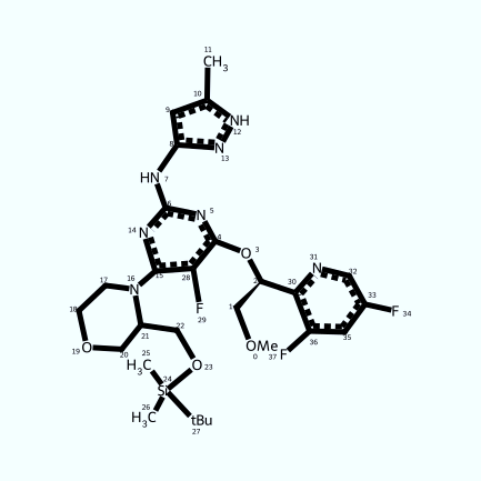 COC[C@@H](Oc1nc(Nc2cc(C)[nH]n2)nc(N2CCOCC2CO[Si](C)(C)C(C)(C)C)c1F)c1ncc(F)cc1F